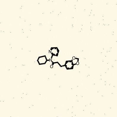 O=C(CCc1ccc2c(c1)OCO2)N(c1ccccn1)C1CCCCC1